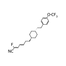 N#CC(F)=CC=CCC[C@H]1CC[C@H](CCc2ccc(OC(F)(F)F)cc2)CC1